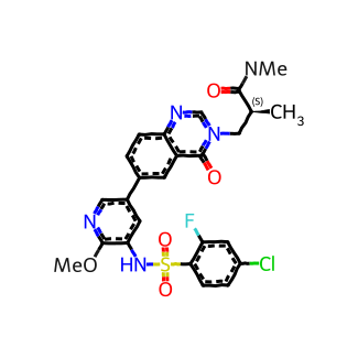 CNC(=O)[C@@H](C)Cn1cnc2ccc(-c3cnc(OC)c(NS(=O)(=O)c4ccc(Cl)cc4F)c3)cc2c1=O